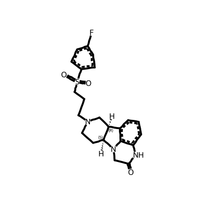 O=C1CN2c3c(cccc3[C@@H]3CN(CCCS(=O)(=O)c4ccc(F)cc4)CC[C@@H]32)N1